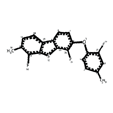 Cc1ccc(Oc2ccc3c(sc4c(F)c(C)ccc43)c2F)c(F)c1